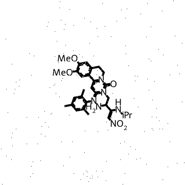 COc1cc2c(cc1OC)-c1cc(=Nc3c(C)cc(C)cc3C)n(CC(N)C(=C[N+](=O)[O-])NC(C)C)c(=O)n1CC2